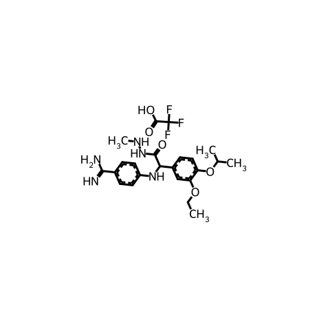 CCOc1cc(C(Nc2ccc(C(=N)N)cc2)C(=O)NNC)ccc1OC(C)C.O=C(O)C(F)(F)F